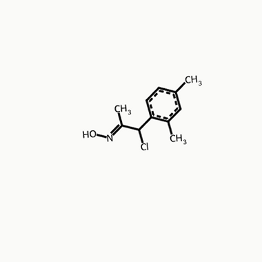 C/C(=N\O)C(Cl)c1ccc(C)cc1C